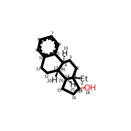 CC[C@]12CC[C@@H]3c4cc[c]cc4CC[C@H]3[C@@H]1CC[C@H]2O